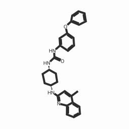 Cc1cc(N[C@H]2CC[C@@H](NC(=O)Nc3cccc(Oc4ccccc4)c3)CC2)nc2ccccc12